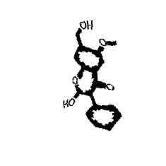 COc1cc2c(=O)c(-c3ccccc3)c(O)oc2cc1CO